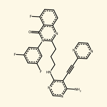 Nc1ncnc(NCCCc2nc3cccc(F)c3c(=O)n2-c2cc(F)cc(F)c2)c1C#Cc1cnccn1